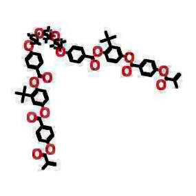 C=C(C)C(=O)Oc1ccc(C(=O)Oc2ccc(OC(=O)c3ccc(O[Si](C)(C)O[Si](C)(C)O[Si](C)(C)Oc4ccc(C(=O)Oc5ccc(OC(=O)c6ccc(OC(=O)C(=C)C)cc6)cc5C(C)(C)C)cc4)cc3)c(C(C)(C)C)c2)cc1